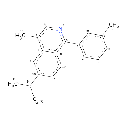 Cc1cccc(-c2ncc(C)c3cc(C(C)C)ccc23)c1